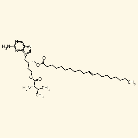 CCCCCCCCC=CCCCCCCCCCC(=O)OC[C@H](CCOC(=O)[C@@H](N)C(C)C)Cn1cnc2cnc(N)nc21